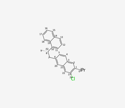 CC(C)c1cc2ccc(C[C@H](C)c3cccc4ccccc34)cc2cc1Cl